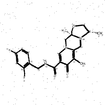 C[C@H]1CO[C@]2(C)Cn3cc(C(=O)NCc4ccc(F)cc4F)c(=O)c(O)c3CN12